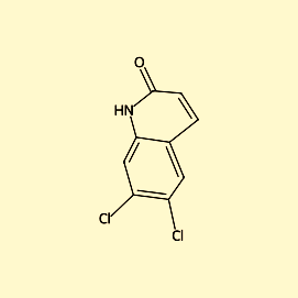 O=c1ccc2cc(Cl)c(Cl)cc2[nH]1